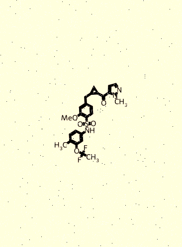 COc1cc(CC2CC2C(=O)c2ccnn2C)ccc1S(=O)(=O)Nc1ccc(C)c(OC(C)(F)F)c1